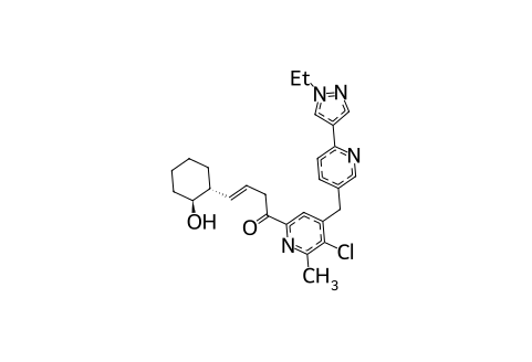 CCn1cc(-c2ccc(Cc3cc(C(=O)C/C=C/[C@H]4CCCC[C@@H]4O)nc(C)c3Cl)cn2)cn1